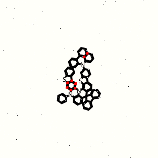 c1ccc(-c2ccccc2N(c2ccccc2)c2ccc3c(c2)sc2c4c(ccc23)C2(c3ccccc3-c3ccccc32)c2cccc(N(c3ccccc3)c3ccc5c(c3)sc3ccccc35)c2N4c2ccccc2)cc1